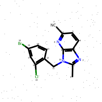 Cc1nc2ccc(C#N)nc2n1Cc1ccc(Br)cc1Cl